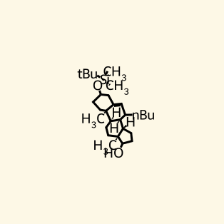 CCCCC1C=C2CC(O[Si](C)(C)C(C)(C)C)CC[C@]2(C)[C@@H]2CC[C@]3(C)C(O)CC[C@H]3[C@H]12